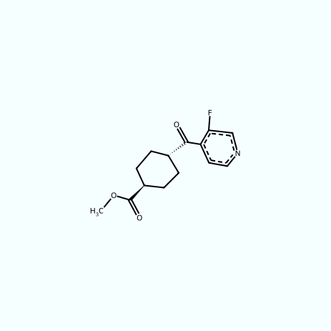 COC(=O)[C@H]1CC[C@H](C(=O)c2ccncc2F)CC1